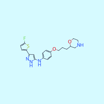 Fc1ccc(-c2cc(Nc3ccc(OCCCC4CNCCO4)cc3)[nH]n2)s1